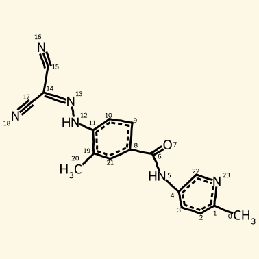 Cc1ccc(NC(=O)c2ccc(NN=C(C#N)C#N)c(C)c2)cn1